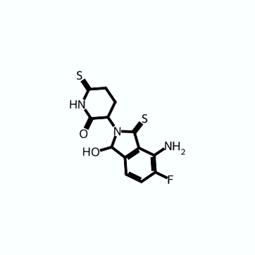 Nc1c(F)ccc2c1C(=S)N(C1CCC(=S)NC1=O)C2O